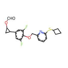 O=COC1CC1c1cc(F)c(OCc2cccc(SC3CCC3)n2)c(F)c1